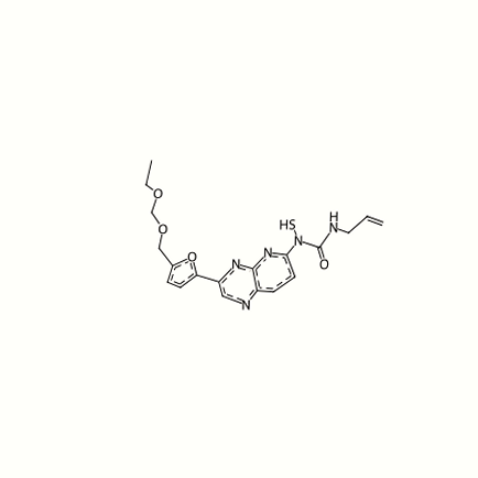 C=CCNC(=O)N(S)c1ccc2ncc(-c3ccc(COCOCC)o3)nc2n1